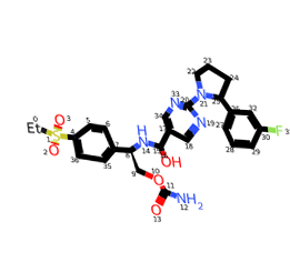 CCS(=O)(=O)c1ccc([C@H](COC(N)=O)NC(O)c2cnc(N3CCCC3c3cccc(F)c3)nc2)cc1